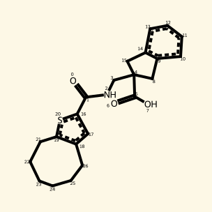 O=C(NCC1(C(=O)O)Cc2ccccc2C1)c1cc2c(s1)CCCCCC2